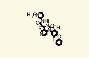 Cc1cc(Oc2ccccc2)c(F)cc1N1C(=O)Nc2c(C(=O)N[C@@H]3CCCN(C)C3)sc3nccc1c23